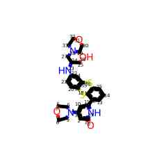 O=c1cc(N2CCOCC2)cc(-c2cccc3c2Sc2ccc(NC(CO)CN4CCOCC4)cc2S3)[nH]1